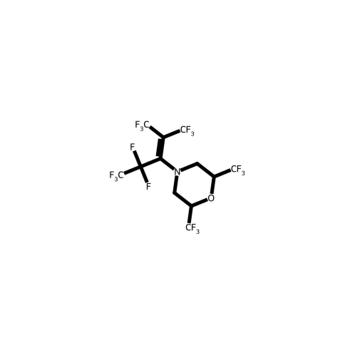 FC(F)(F)C(=C(N1CC(C(F)(F)F)OC(C(F)(F)F)C1)C(F)(F)C(F)(F)F)C(F)(F)F